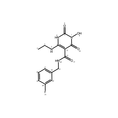 CCNc1[nH]c(=O)n(O)c(=O)c1C(=O)NCc1cccc(F)c1